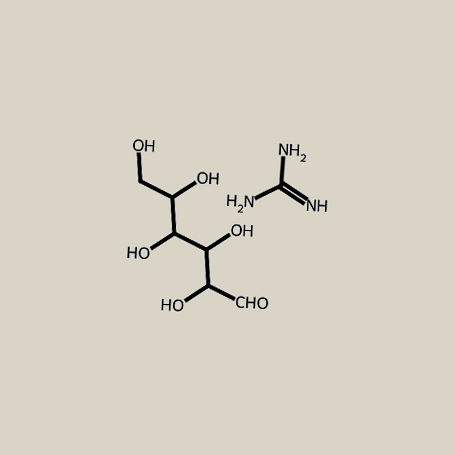 N=C(N)N.O=CC(O)C(O)C(O)C(O)CO